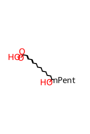 CCCCCC(O)CCCCCCCC=CC=CC(=O)OO